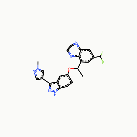 CC(Oc1ccc2[nH]nc(-c3cnn(C)c3)c2c1)c1cc(C(F)F)cc2nccnc12